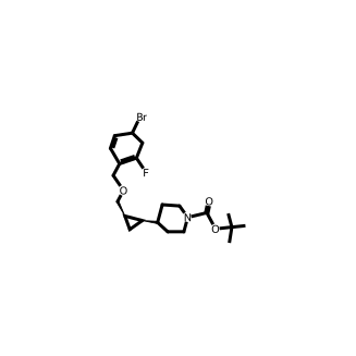 CC(C)(C)OC(=O)N1CCC([C@H]2C[C@H]2COCC2=C(F)CC(Br)C=C2)CC1